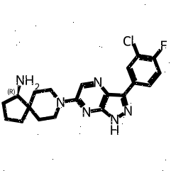 N[C@@H]1CCCC12CCN(c1cnc3c(-c4ccc(F)c(Cl)c4)n[nH]c3n1)CC2